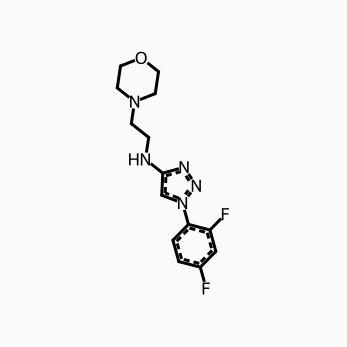 Fc1ccc(-n2cc(NCCN3CCOCC3)nn2)c(F)c1